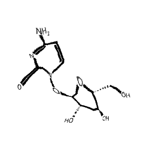 Nc1ccn(O[C@H]2O[C@H](CO)[C@@H](O)[C@@H]2O)c(=O)n1